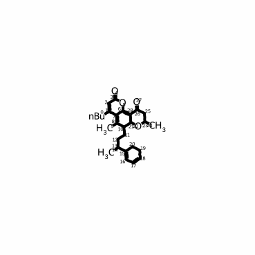 CCCCc1cc(=O)oc2c1=C(C)C(CCC(C)C1=CC=CCC1)C1OC(C)CC(=O)C=21